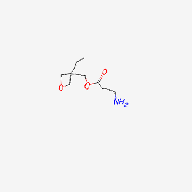 CCC1(COC(=O)CCN)COC1